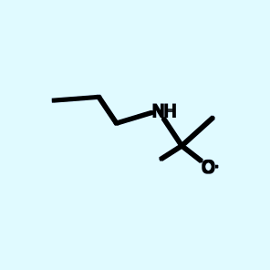 CCCNC(C)(C)[O]